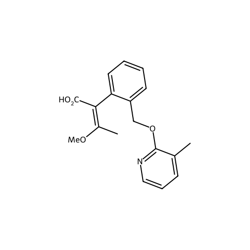 COC(C)=C(C(=O)O)c1ccccc1COc1ncccc1C